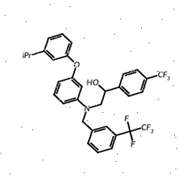 CC(C)c1cccc(Oc2cccc(N(Cc3cccc(C(F)(F)C(F)(F)F)c3)CC(O)c3ccc(C(F)(F)F)cc3)c2)c1